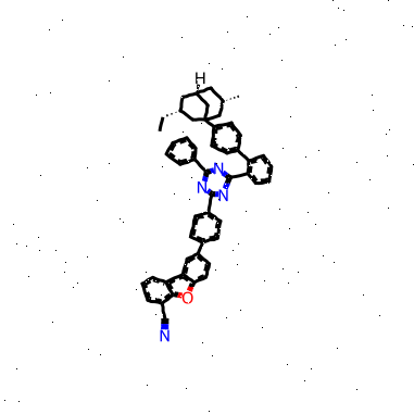 CC[C@@H]1C[C@@H]2C[C@H](C)CC(c3ccc(-c4ccccc4-c4nc(-c5ccccc5)nc(-c5ccc(-c6ccc7oc8c(C#N)cccc8c7c6)cc5)n4)cc3)(C1)C2